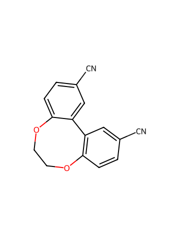 N#Cc1ccc2c(c1)-c1cc(C#N)ccc1OCCO2